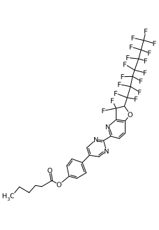 CCCCCC(=O)Oc1ccc(-c2cnc(-c3ccc4c(n3)C(F)(F)C(C(F)(F)C(F)(F)C(F)(F)C(F)(F)C(F)(F)C(F)(F)C(F)(F)F)O4)nc2)cc1